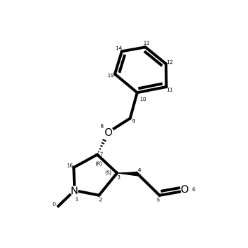 CN1C[C@H](CC=O)[C@@H](OCc2ccccc2)C1